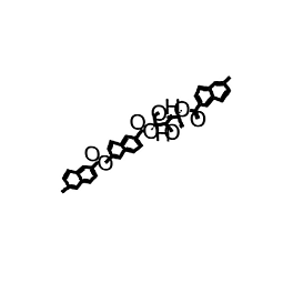 Cc1ccc2cc(C(=O)Oc3ccc4cc(C(=O)O[C@@H]5CO[C@H]6[C@@H]5OC[C@H]6OC(=O)c5ccc6cc(C)ccc6c5)ccc4c3)ccc2c1